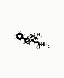 CS(=O)(=O)C(CCC(N)=O)n1cc(-c2ccccc2)cn1